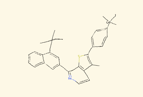 Cc1c(-c2cc[c]([Ge]([CH3])([CH3])[CH3])cc2)sc2c(-c3cc(C(C)(C)C)c4ccccc4c3)nccc12